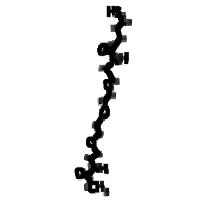 CC(=O)NCCOCCOCCOCCNC(=O)CCCS